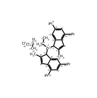 CC.C[SiH2][Zr+2]([CH]1C(C)=Cc2c(C(C)C)cc(C(C)C)cc21)[CH]1C(C)=Cc2c(C(C)C)cc(C(C)C)cc21.[Cl-].[Cl-]